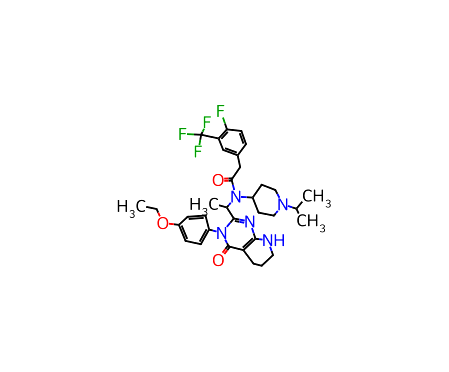 CCOc1ccc(-n2c(C(C)N(C(=O)Cc3ccc(F)c(C(F)(F)F)c3)C3CCN(C(C)C)CC3)nc3c(c2=O)CCCN3)cc1